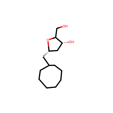 OCC1O[C@@H](CC2CCCCCCC2)C[C@H]1O